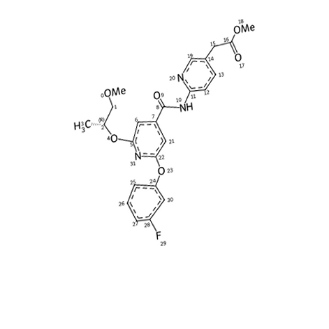 COC[C@@H](C)Oc1cc(C(=O)Nc2ccc(CC(=O)OC)cn2)cc(Oc2cccc(F)c2)n1